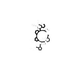 CCn1c(-c2cccnc2[C@H](C)OC)c2c3cc(ccc31)-c1cc(O)cc(c1)C[C@H](NC(=O)C1CCCC1C(C)F)C(=O)N1CCC[C@H](N1)C(=O)OCC(C)(C)C2